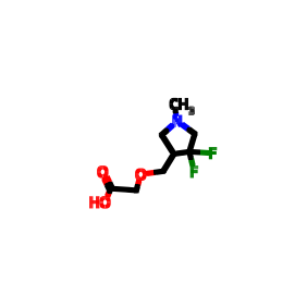 CN1CC(COCC(=O)O)C(F)(F)C1